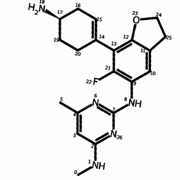 CNc1cc(C)nc(Nc2cc3c(c(C4=CC[C@H](N)CC4)c2F)OCC3)n1